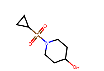 O=S(=O)(C1CC1)N1CCC(O)CC1